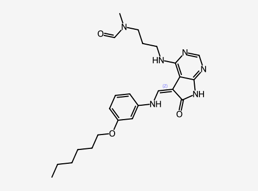 CCCCCCOc1cccc(N/C=C2\C(=O)Nc3ncnc(NCCCN(C)C=O)c32)c1